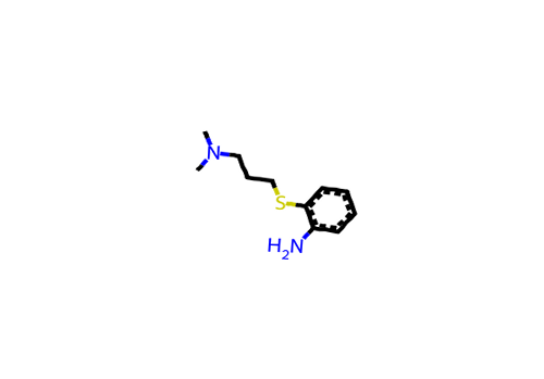 CN(C)CCCSc1ccccc1N